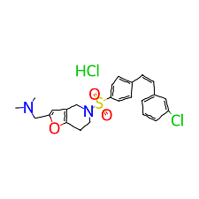 CN(C)Cc1cc2c(o1)CCN(S(=O)(=O)c1ccc(/C=C\c3cccc(Cl)c3)cc1)C2.Cl